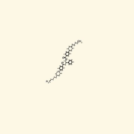 CCCCCC1CCC(c2ccc(C(=O)CC(COC(=O)c3ccc(C4CCC(CCCCC)CC4)cc3)c3ccccc3)cc2)CC1